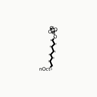 CCCCCCCCCCCCCCCCOB1OOO1